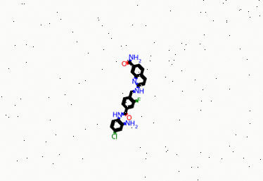 NC(=O)c1ccc2ccc(NCc3ccc(C(=O)Nc4ccc(Cl)cc4N)cc3F)nc2c1